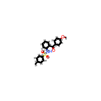 COc1ccc(C(=O)c2ccccc2NS(=O)(=O)c2ccc(C)cc2)cc1